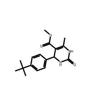 COC(=O)C1=C(C)NC(=O)NC1c1ccc(C(C)(C)C)cc1